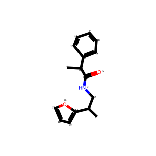 CC(CNC(=O)C(C)c1cc[c]cc1)c1ccco1